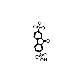 O=C1c2cc(S(=O)(=O)O)ccc2-c2ccc(S(=O)(=O)O)cc21